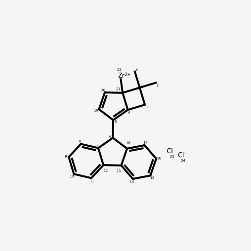 CC1(C)CC2=C(C3c4ccccc4-c4ccccc43)C=C[C]21[Zr+2].[Cl-].[Cl-]